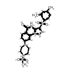 Cc1ccc(S(=O)(=O)c2nnn3c2[nH]c(=O)c2ccc(N4CCN(S(C)(=O)=O)CC4)cc23)c(C)c1